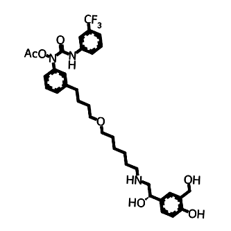 CC(=O)ON(C(=O)Nc1cccc(C(F)(F)F)c1)c1cccc(CCCCOCCCCCCNC[C@@H](O)c2ccc(O)c(CO)c2)c1